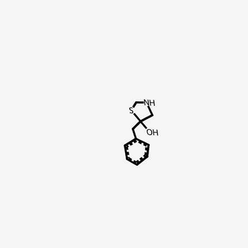 OC1(Cc2ccccc2)CNCS1